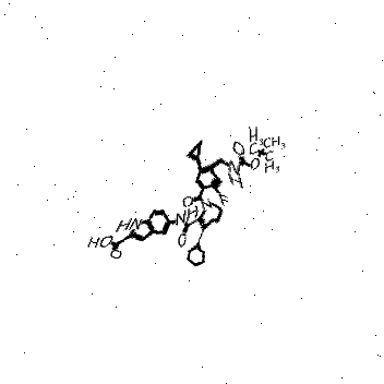 CC(C)(C)OC(=O)NCc1cc(F)c(C(=O)N2CC[C@@H](C3CCCCC3)[C@H]2C(=O)Nc2ccc3[nH]c(C(=O)O)cc3c2)cc1C1CC1